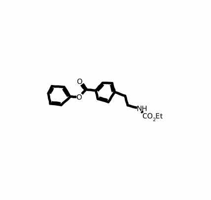 CCOC(=O)NCCc1ccc(C(=O)Oc2ccccc2)cc1